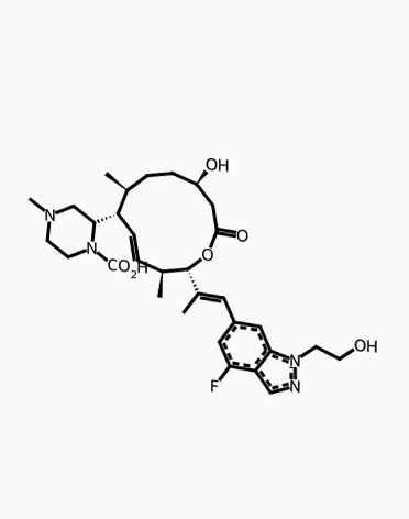 C/C(=C\c1cc(F)c2cnn(CCO)c2c1)[C@H]1OC(=O)C[C@H](O)CC[C@H](C)[C@@H](C2CN(C)CCN2C(=O)O)/C=C/[C@@H]1C